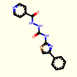 O=C(NNC(=O)c1ccncc1)Nc1nc(-c2ccccc2)cs1